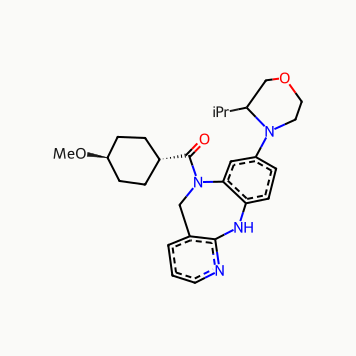 CO[C@H]1CC[C@H](C(=O)N2Cc3cccnc3Nc3ccc(N4CCOCC4C(C)C)cc32)CC1